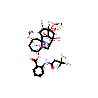 CO[C@H]1CC[C@]2(OC(=O)c3ccccc3NC(=O)CC(C)(C)C)C3CC4N(N[C@H]2C)C3(C1)C1C[C@@H]2[C@@H](OC)C[C@@]4(O)[C@@]1(O)[C@H]2OC